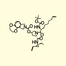 C=CCCCCC[C@H](NC(=O)OC(C)(C)C)C(=O)N1C[C@H](OC(=O)N2Cc3ccc4c(c3C2)OCCCO4)C[C@H]1C(=O)N[C@]1(CC)C[C@H]1C=C